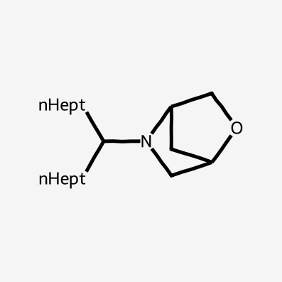 CCCCCCCC(CCCCCCC)N1CC2CC1CO2